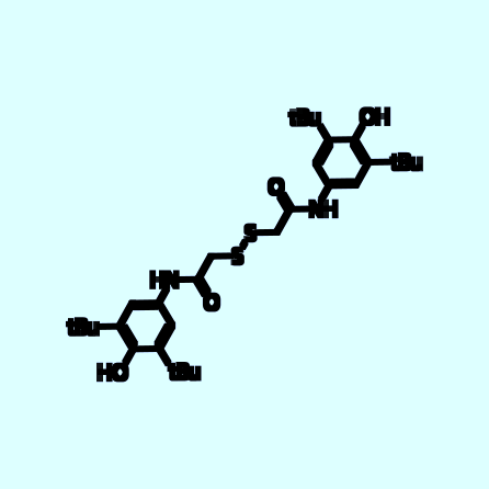 CC(C)(C)c1cc(NC(=O)CSSCC(=O)Nc2cc(C(C)(C)C)c(O)c(C(C)(C)C)c2)cc(C(C)(C)C)c1O